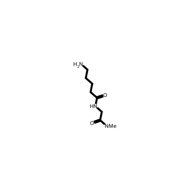 CNC(=O)CNC(=O)CCCCN